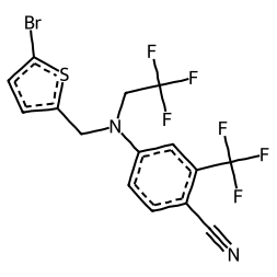 N#Cc1ccc(N(Cc2ccc(Br)s2)CC(F)(F)F)cc1C(F)(F)F